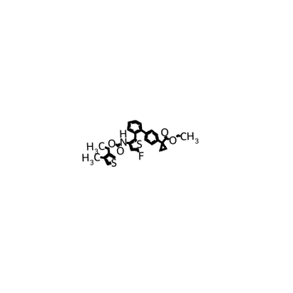 CCOC(=O)C1(c2ccc(-c3ccccc3-c3sc(F)cc3NC(=O)OC(C)c3cscc3C)cc2)CC1